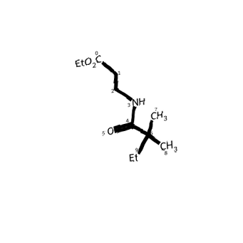 CCOC(=O)CCNC(=O)C(C)(C)CC